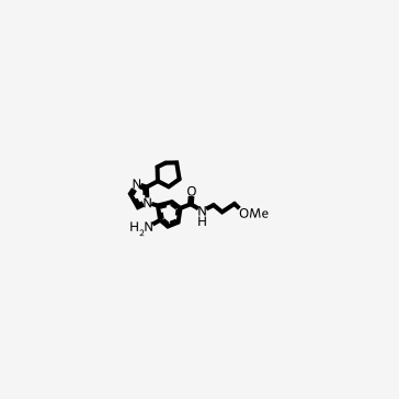 COCCCNC(=O)c1ccc(N)c(-n2ccnc2C2CCCCC2)c1